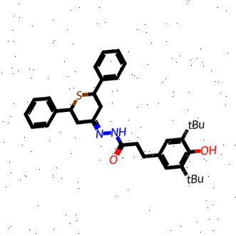 CC(C)(C)c1cc(CCC(=O)NN=C2CC(c3ccccc3)SC(c3ccccc3)C2)cc(C(C)(C)C)c1O